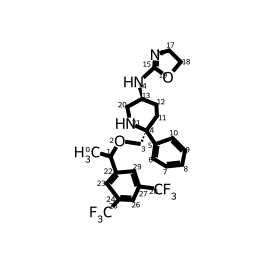 CC(OC[C@@]1(c2ccccc2)CC[C@H](NC2=NCCO2)CN1)c1cc(C(F)(F)F)cc(C(F)(F)F)c1